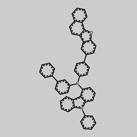 c1ccc(-c2cccc(N(c3ccc(-c4ccc5oc6c7ccccc7ccc6c5c4)cc3)c3cccc4c3c3ccccc3n4-c3ccccc3)c2)cc1